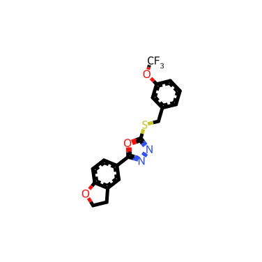 FC(F)(F)Oc1cccc(CSc2nnc(-c3ccc4c(c3)CCO4)o2)c1